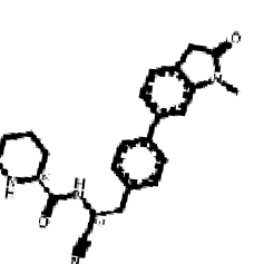 CN1C(=O)Cc2ccc(-c3ccc(C[C@@H](C#N)NC(=O)[C@@H]4CCCCN4)cc3)cc21